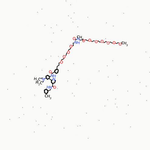 CCN(CC)c1ccc(NC(=O)c2cccc(CCCOCCOCCOCCOCCNC(=O)N(C)CCOCCOCCOCCOCCOCCOCCOC)c2)c(-c2cc(C(=O)NCc3cccc(C)c3)ccn2)c1